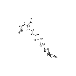 C=N/C=C\C(=C/C)CCCCCCCCCCN=C=S